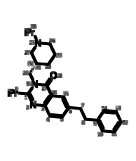 CC(C)c1nc2ccc(CCc3ccccc3)cc2c(=O)n1C[C@H]1CCCN(C(C)C)C1